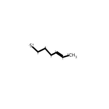 C/C=C/CCC[S]